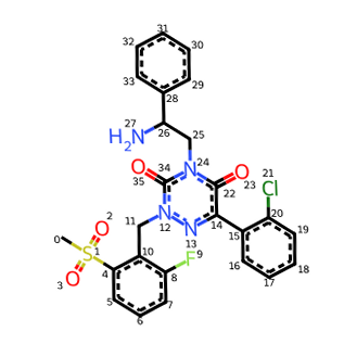 CS(=O)(=O)c1cccc(F)c1Cn1nc(-c2ccccc2Cl)c(=O)n(CC(N)c2ccccc2)c1=O